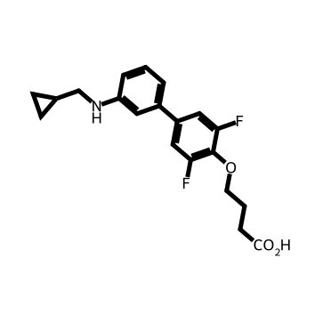 O=C(O)CCCOc1c(F)cc(-c2cccc(NCC3CC3)c2)cc1F